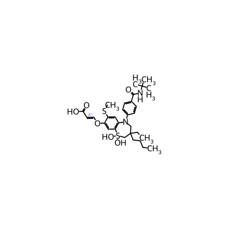 CCCCC1(CC)CN(c2ccc(C(=O)NC(C)(C)C)cc2)c2cc(SC)c(O/C=C/C(=O)O)cc2S(O)(O)C1